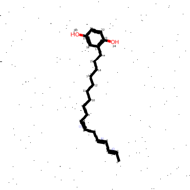 C/C=C/C=C/C/C=C\CCCCCCCCCc1cc(O)ccc1O